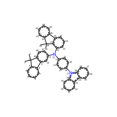 CC1(C)c2ccccc2-c2cc(N(c3ccc(-n4c5ccccc5c5ccccc54)cc3)c3cccc4c3C(C)(C)c3ccccc3-4)ccc21